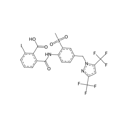 CS(=O)(=O)c1cc(Cn2nc(C(F)(F)F)cc2C(F)(F)F)ccc1NC(=O)c1cccc(I)c1C(=O)O